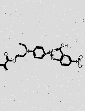 C=C(C)C(=O)OCCN(CC)c1ccc(/N=N/c2ccc([N+](=O)[O-])cc2C(=O)O)cc1